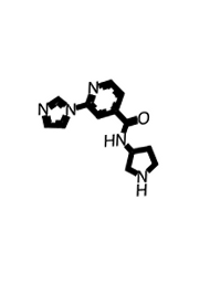 O=C(NC1CCNC1)c1ccnc(-n2ccnc2)c1